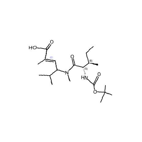 CC[C@@H](C)[C@H](NC(=O)OC(C)(C)C)C(=O)N(C)C(/C=C(\C)C(=O)O)C(C)C